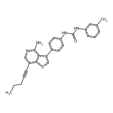 CCCC#Cc1cnc(N)c2c(-c3ccc(NC(=O)Nc4cccc(C)c4)cc3)csc12